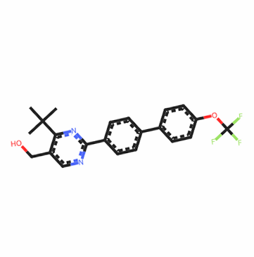 CC(C)(C)c1nc(-c2ccc(-c3ccc(OC(F)(F)F)cc3)cc2)ncc1CO